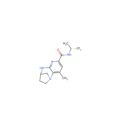 Cc1cc(C(=O)N[C@H](C)C(F)(F)F)nc2c1N1CCC(C1)N2